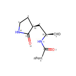 CCCCCC(=O)N[C@H](C=O)C[C@@H]1CCNC1=O